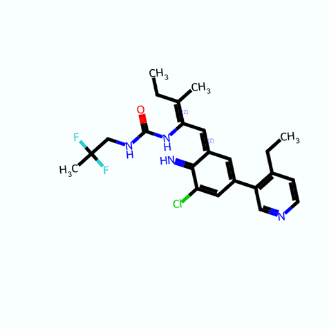 CC/C(C)=C(/C=C1/C=C(c2cnccc2CC)C=C(Cl)C1=N)NC(=O)NCC(C)(F)F